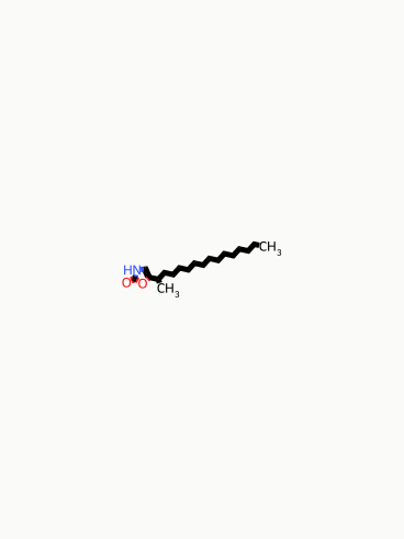 CCCCCCCCCCCCCCC(C)c1c[nH]c(=O)o1